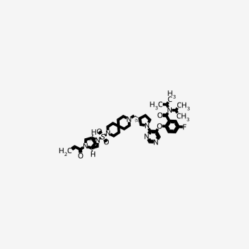 C=CC(=O)N1C[C@@H]2C[C@H]1CN2S(=O)(=O)N1CCC2(CCN(C[C@@H]3CCN(c4ncncc4Oc4ccc(F)cc4C(=O)N(C(C)C)C(C)C)C3)CC2)CC1